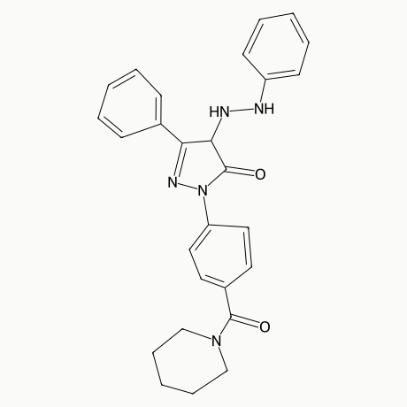 O=C(c1ccc(N2N=C(c3ccccc3)C(NNc3ccccc3)C2=O)cc1)N1CCCCC1